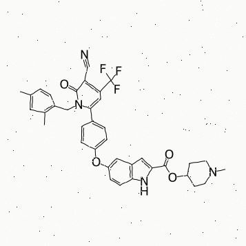 Cc1ccc(Cn2c(-c3ccc(Oc4ccc5[nH]c(C(=O)OC6CCN(C)CC6)cc5c4)cc3)cc(C(F)(F)F)c(C#N)c2=O)c(C)c1